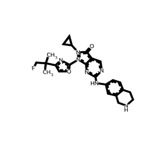 CC(C)(CF)c1coc(-n2c3nc(Nc4ccc5c(c4)CNCC5)ncc3c(=O)n2C2CC2)n1